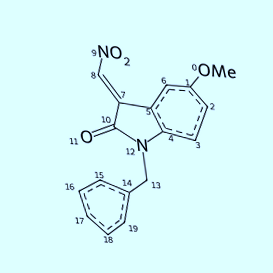 COc1ccc2c(c1)/C(=C\[N+](=O)[O-])C(=O)N2Cc1ccccc1